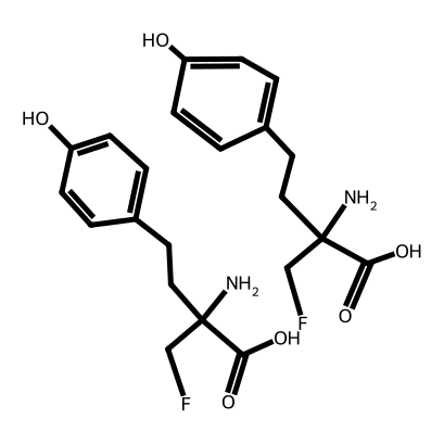 NC(CF)(CCc1ccc(O)cc1)C(=O)O.NC(CF)(CCc1ccc(O)cc1)C(=O)O